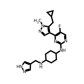 Cn1ncc(-c2nc(NC3CCC(NCc4cn[nH]c4)CC3)ncc2F)c1CC1CC1